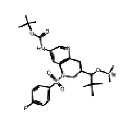 C[SiH](C)OC(C1Cc2ncc(NC(=O)OC(C)(C)C)cc2N(S(=O)(=O)c2ccc(F)cc2)C1)C(C)(C)C